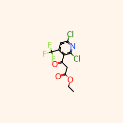 CCOC(=O)CC(=O)c1c(C(F)(F)F)cc(Cl)nc1Cl